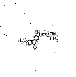 Cc1cc2c(cn1)c(=O)oc1cc(OCC(C)(N)CC(C)C)c(Cl)cc12